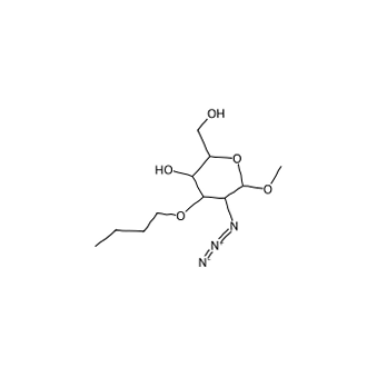 CCCCOC1C(O)C(CO)OC(OC)C1N=[N+]=[N-]